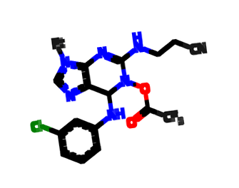 CCn1cnc2c1N=C(NCCC#N)N(OC(=O)C(F)(F)F)C2Nc1cccc(Cl)c1